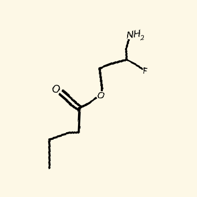 CCCC(=O)OCC(N)F